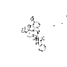 COc1ccc2c3c1O[C@@H]1C(=O)CC[C@]4(O)C(NC(=O)c5ccccc5)(CCCC314)C2